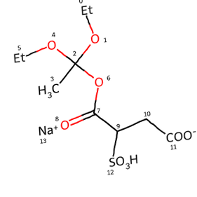 CCOC(C)(OCC)OC(=O)C(CC(=O)[O-])S(=O)(=O)O.[Na+]